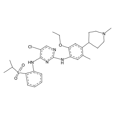 CCOc1cc(C2CCN(C)CC2)c(C)cc1Nc1ncc(Cl)c(Nc2ccccc2S(=O)(=O)C(C)C)n1